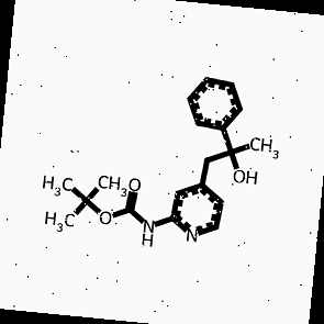 CC(C)(C)OC(=O)Nc1cc(CC(C)(O)c2ccccc2)ccn1